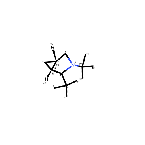 CC(C)(C)C1[C@@H]2C[C@@H]2CN1C(C)(C)C